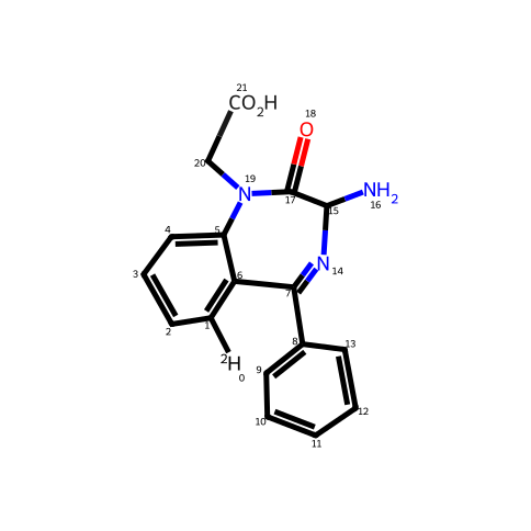 [2H]c1cccc2c1C(c1ccccc1)=NC(N)C(=O)N2CC(=O)O